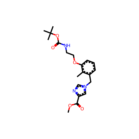 COC(=O)c1cn(Cc2cccc(OCCNC(=O)OC(C)(C)C)c2C)cn1